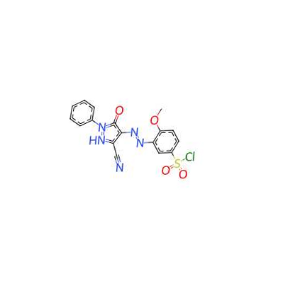 COc1ccc(S(=O)(=O)Cl)cc1/N=N/c1c(C#N)[nH]n(-c2ccccc2)c1=O